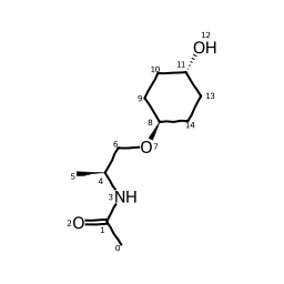 CC(=O)N[C@@H](C)CO[C@H]1CC[C@H](O)CC1